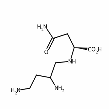 NCCC(N)CN[C@@H](CC(N)=O)C(=O)O